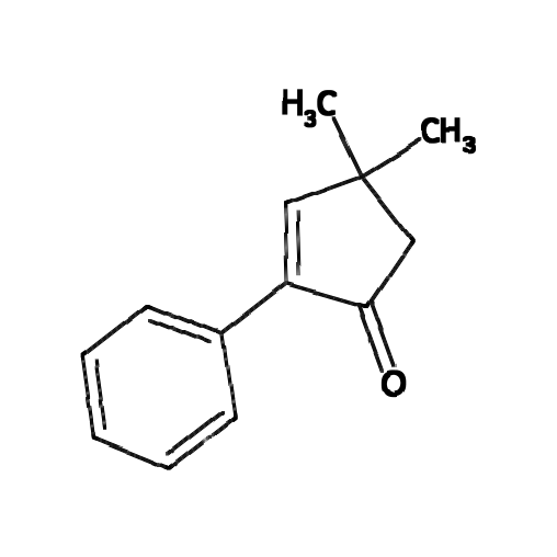 CC1(C)C=C(c2ccccc2)C(=O)C1